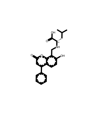 CC(C)C[C@H](NCc1c(O)ccc2c(-c3ccccc3)cc(=O)oc12)C(=O)O